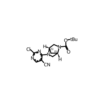 CC(C)(C)OC(=O)N1C[C@@H]2C[C@H]1CN2c1nc(Cl)ncc1C#N